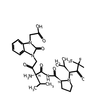 CC(C)[C@@H](C(=O)C(F)(F)F)N1CCC[C@H]1C(=O)NC(=O)[C@](N)(C(=O)Cn1c(=O)n(CC(=O)O)c2ccccc21)C(C)C